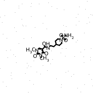 Cn1cc(C(=O)NCCC2CCN(S(N)(=O)=O)CC2)c(=O)n(C)c1=O